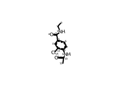 CCNC(=O)c1ccc(NC(C)=O)c(Cl)c1